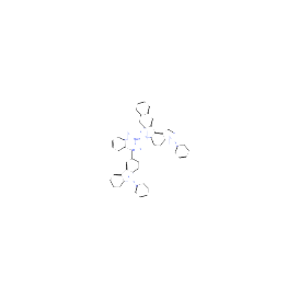 c1ccc(-n2ccc3c4c5cc6ccccc6cc5n(-c5nc(-c6ccc7c(c6)c6ccccc6n7-c6ccccc6)c6ccccc6n5)c4ccc32)cc1